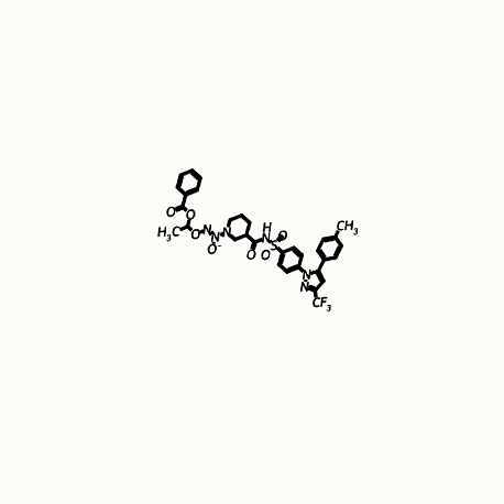 Cc1ccc(-c2cc(C(F)(F)F)nn2-c2ccc(S(=O)(=O)NC(=O)C3CCCN([N+]([O-])=NOC(C)OC(=O)c4ccccc4)C3)cc2)cc1